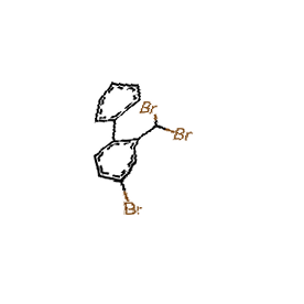 Brc1ccc(-c2ccccc2)c(C(Br)Br)c1